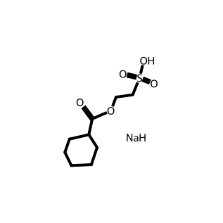 O=C(OCCS(=O)(=O)O)C1CCCCC1.[NaH]